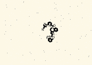 Cc1cccc(F)c1NC(=O)c1cc2c(s1)-c1ccccc1N(C(=O)c1cccc(-n3cc(C#N)cn3)n1)CC2